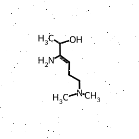 CC(O)C(N)=CCCN(C)C